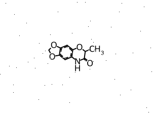 CC1Oc2cc3c(cc2NC1=O)OCO3